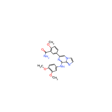 COc1ccc(Nc2nc(-c3ccc(OC)c(C(N)=O)c3)cn3ccnc23)cc1OC